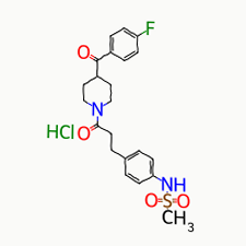 CS(=O)(=O)Nc1ccc(CCC(=O)N2CCC(C(=O)c3ccc(F)cc3)CC2)cc1.Cl